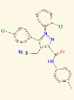 N#CCc1c(C(=O)Nc2ccc(F)cc2)nn(-c2ccccc2Cl)c1-c1ccc(Cl)cc1